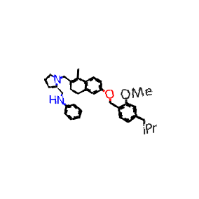 COc1cc(CC(C)C)ccc1COc1ccc2c(c1)CCC(CN1CCC[C@@H]1CNc1ccccc1)=C2C